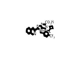 C[C@@H](Nc1nc(C(=O)O)nc2nc(-c3cc4ccccc4cn3)n(Cc3ccc(C(F)(F)F)cc3)c12)C1CCC1